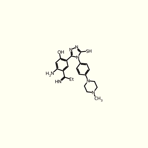 CCC(=N)c1cc(-c2nnc(S)n2-c2ccc(N3CCN(C)CC3)cc2)c(O)cc1N